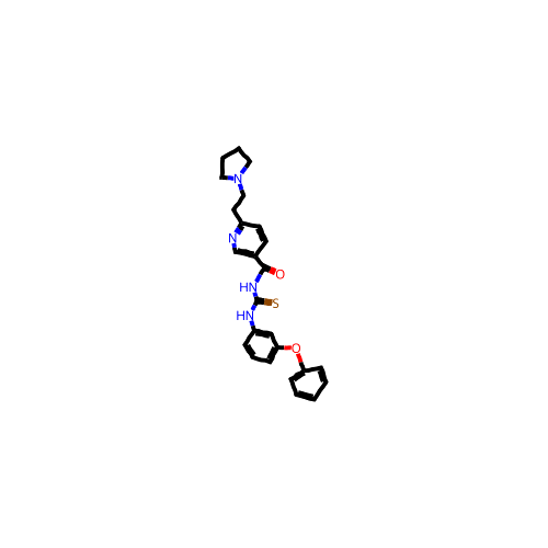 O=C(NC(=S)Nc1cccc(Oc2ccccc2)c1)c1ccc(CCN2CCCC2)nc1